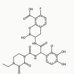 CCN1CCN(C(=O)NC(C(=O)NC2Cc3ccc(F)c(C(=O)O)c3OB2O)c2ccc(O)c(O)c2Cl)C(=O)C1=O